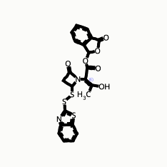 C/C(O)=C(/C(=O)OC1OC(=O)c2ccccc21)N1C(=O)CC1SSc1nc2ccccc2s1